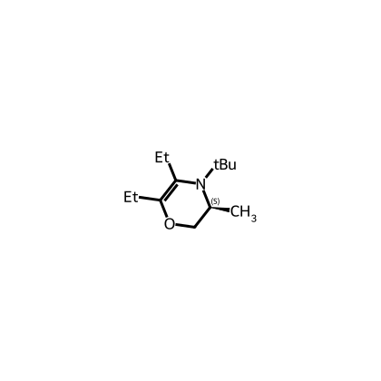 CCC1=C(CC)N(C(C)(C)C)[C@@H](C)CO1